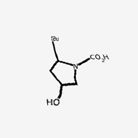 CC(C)(C)C1CC(O)CN1C(=O)O